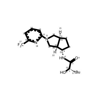 CC(C)(C)[C@H](O)C(=O)N[C@H]1CC[C@@H]2CN(c3cccc(C(F)(F)F)n3)C[C@@H]21